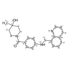 CC1(O)CCN(C(=O)c2ccc(NSc3cccc4cccnc34)cc2)CC1